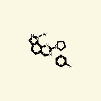 CC(C)n1ncc2ccc3cnc(N4CCC[C@@H]4c4cccc(F)c4)nc3c21